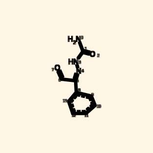 NC(=O)N/N=C(\C=O)c1ccccc1